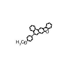 COc1ccc(-c2cc3cc4oc5ccccc5c4cc3c3ccccc23)cc1